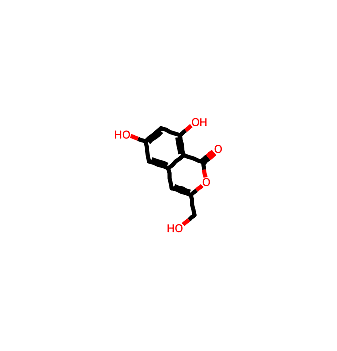 O=c1oc(CO)cc2cc(O)cc(O)c12